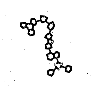 c1ccc(-c2nc(-c3ccccc3)nc(-c3cccc4c(-c5ccc6c(c5)sc5cc(-c7cccc(-c8cccc(-c9ccc%10c%11ccccc%11c%11ccccc%11c%10c9)c8)c7)ccc56)cccc34)n2)cc1